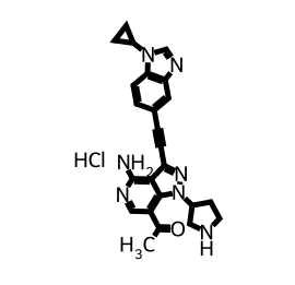 CC(=O)c1cnc(N)c2c(C#Cc3ccc4c(c3)ncn4C3CC3)nn(C3CCNC3)c12.Cl